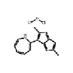 CC1=CC2=CC(C)=C(C3=CC=CC=CN3)C2=C1.[Cl][Zr][Cl]